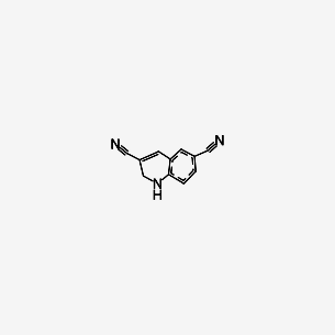 N#CC1=Cc2cc(C#N)ccc2NC1